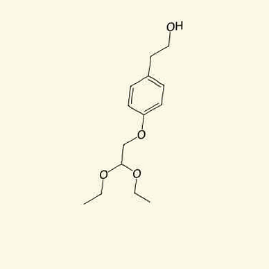 CCOC(COc1ccc(CCO)cc1)OCC